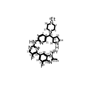 CCN1CCN(C(c2ccc(Nc3ncc(F)c(-c4cc(F)c5nc(C)n(C(C)C)c5c4)n3)nc2)C2CCNC2)CC1